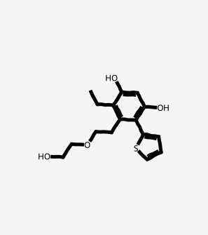 CCc1c(O)cc(O)c(-c2cccs2)c1CCOCCO